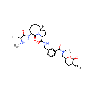 CN[C@@H](C)C(=O)N[C@H]1CCCC[C@H]2CC[C@@H](C(=O)NCc3cccc(C(=O)N(C)CC4CCC(C)C(=O)O4)c3)N2C1=O